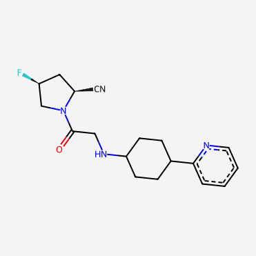 N#C[C@@H]1C[C@H](F)CN1C(=O)CNC1CCC(c2ccccn2)CC1